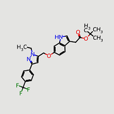 CCn1nc(-c2ccc(C(F)(F)F)cc2)cc1COc1ccc2c(CC(=O)OC(C)(C)C)c[nH]c2c1